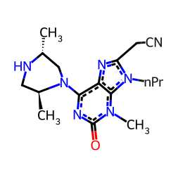 CCCn1c(CC#N)nc2c(N3C[C@@H](C)NC[C@@H]3C)nc(=O)n(C)c21